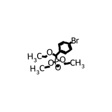 CCOC(c1ccc(Br)cc1)P(=O)(OCC)OCC